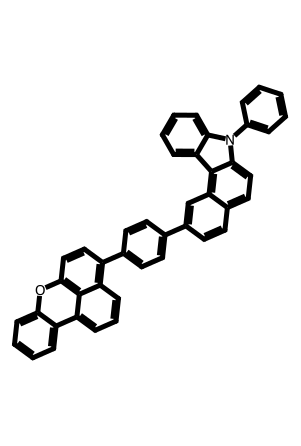 c1ccc(-n2c3ccccc3c3c4cc(-c5ccc(-c6ccc7c8c(cccc68)-c6ccccc6O7)cc5)ccc4ccc32)cc1